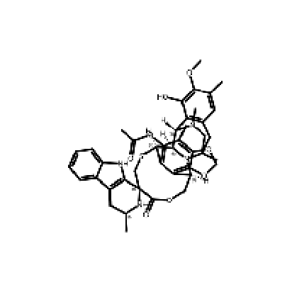 COc1c(C)cc2c(c1O)[C@H]1[C@@H]3[C@@H]4SC[C@]5(N[C@@H](C)Cc6c5[nH]c5ccccc65)C(=O)OC[C@@H](c5c6c(c(C)c(OC(C)=O)c54)OCO6)N3C(C)(C2)CN1C